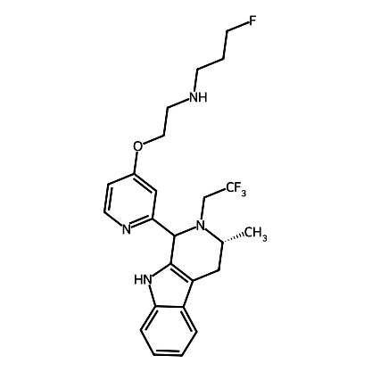 C[C@@H]1Cc2c([nH]c3ccccc23)C(c2cc(OCCNCCCF)ccn2)N1CC(F)(F)F